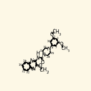 COc1cc(OC)cc(N2CCN(C(=O)Nc3nc4ccccc4nc3OC)CC2)c1